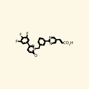 O=C(O)C=Cc1cnc(-c2cccc(Cn3nc(-c4cc(F)c(F)c(F)c4)ccc3=O)c2)nc1